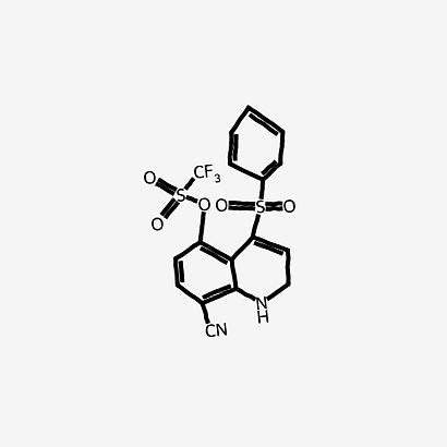 N#Cc1ccc(OS(=O)(=O)C(F)(F)F)c2c1NCC=C2S(=O)(=O)c1ccccc1